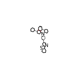 c1cccc(-c2ccccc2N(C2=CC=C(c3cnc4c(c3)sc3ccccc34)CC2)c2ccc(-c3ccccc3)cc2)c#1